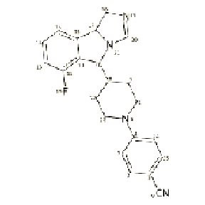 N#Cc1ccc(N2CCC(C3c4c(F)cccc4C4CN=CN43)CC2)cc1